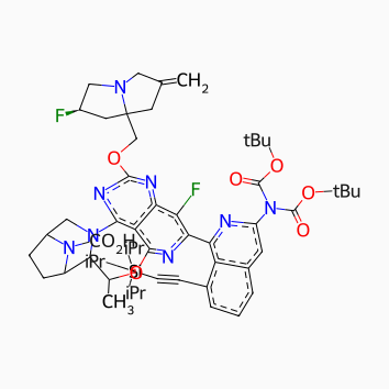 C=C1CN2C[C@H](F)CC2(COc2nc3c4c(nc(-c5nc(N(C(=O)OC(C)(C)C)C(=O)OC(C)(C)C)cc6cccc(C#C[Si](C(C)C)(C(C)C)C(C)C)c56)c(F)c4n2)OC(C)C2C4CCC(CN32)N4C(=O)O)C1